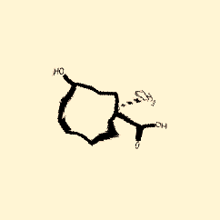 C[C@]1(C(=O)O)CCC=CC(O)CC1